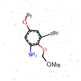 COCOc1c(N)cc(OC(C)C)cc1C(C)(C)C